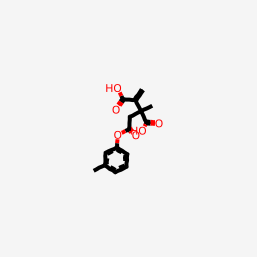 C=C(C(=O)O)C(C)(CC(=O)Oc1cccc(C)c1)C(=O)O